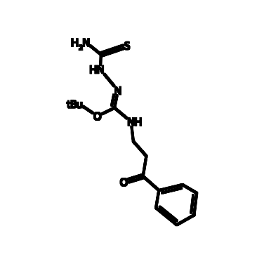 CC(C)(C)OC(=NNC(N)=S)NCCC(=O)c1ccccc1